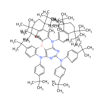 CC(C)(C)c1ccc(N(c2ccc(C(C)(C)C)cc2)c2nc3c4c(n2)N(c2ccc5c(c2)C(C(C)(C)C)(C(C)(C)C)CCC5(C(C)(C)C)C(C)(C)C)c2cc5c(cc2B4c2cc(C(C)(C)C)ccc2N3c2ccc(C(C)(C)C)cc2)C(C(C)(C)C)(C(C)(C)C)CCC5(C(C)(C)C)C(C)(C)C)cc1